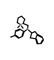 Cc1ccc(N(CC2CCCC[N+]2(C)C)C2Cc3ccccc3C2)cc1